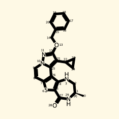 C[C@@H]1CNc2c(sc3ccn4nc(OCc5ccccc5)c(C5CC5)c4c23)C(=O)N1